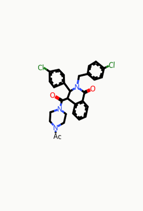 CC(=O)N1CCN(C(=O)C2c3ccccc3C(=O)N(Cc3ccc(Cl)cc3)C2c2ccc(Cl)cc2)CC1